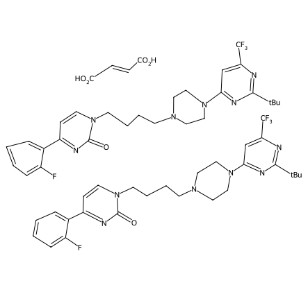 CC(C)(C)c1nc(N2CCN(CCCCn3ccc(-c4ccccc4F)nc3=O)CC2)cc(C(F)(F)F)n1.CC(C)(C)c1nc(N2CCN(CCCCn3ccc(-c4ccccc4F)nc3=O)CC2)cc(C(F)(F)F)n1.O=C(O)/C=C/C(=O)O